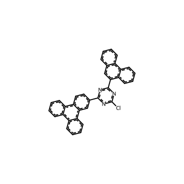 Clc1nc(-c2ccc3c4ccccc4c4ccccc4c3c2)nc(-c2cc3ccccc3c3ccccc23)n1